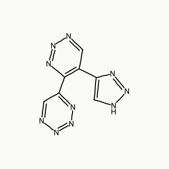 c1[nH]nnc1-c1cnnnc1-c1cnnnn1